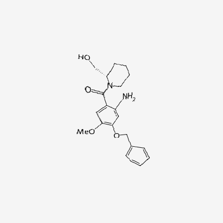 COc1cc(C(=O)N2CCCC[C@H]2CO)c(N)cc1OCc1ccccc1